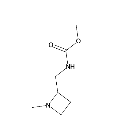 COC(=O)NCC1CCN1C